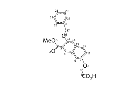 COC(=O)c1cc2cc(OCC(=O)O)ccc2cc1OCc1ccccc1